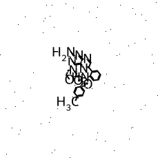 Cc1ccc(S(=O)(=O)Nc2ccccc2-c2cnc3nc(N)nc(N4CCOCC4)c3n2)cc1